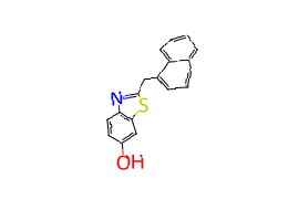 Oc1ccc2nc(Cc3cccc4ccccc34)sc2c1